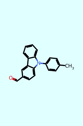 Cc1ccc(-n2c3ccccc3c3cc(C=O)ccc32)cc1